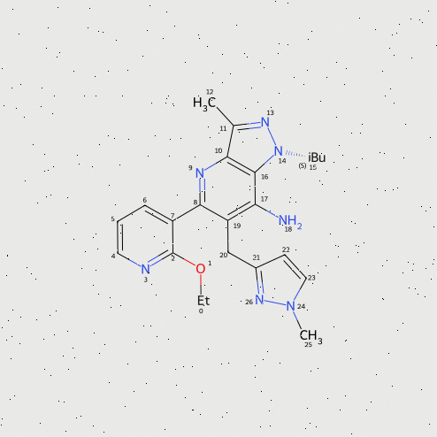 CCOc1ncccc1-c1nc2c(C)nn([C@@H](C)CC)c2c(N)c1Cc1ccn(C)n1